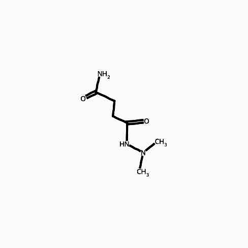 CN(C)NC(=O)CCC(N)=O